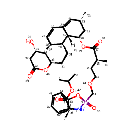 CC(C)OC(=O)[C@H](C)NP(=O)(COCC[C@H](C)C(=O)O[C@H]1C[C@@H](C)C=C2C=C[C@H](C)[C@H](CC[C@@H]3C[C@@H](O)CC(=O)O3)[C@H]21)Oc1ccccc1